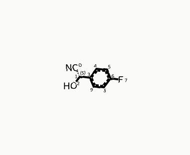 N#C[C@@H](O)c1ccc(F)cc1